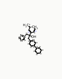 C=C/C=C(\C=C/C)[C@](O)(Cc1ccc(-c2ccccc2)cn1)Cn1cnnn1